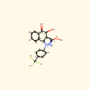 COc1nn(-c2ccc(C(F)(F)F)cc2)c2c1C(=O)C(=O)c1ccccc1-2